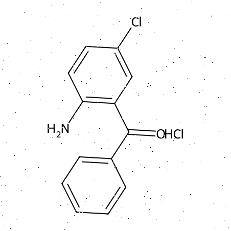 Cl.Nc1ccc(Cl)cc1C(=O)c1ccccc1